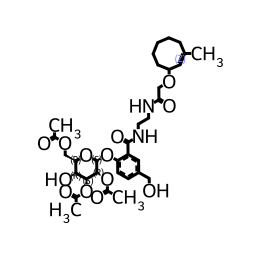 CC(=O)OC[C@H]1O[C@@H](Oc2ccc(CO)cc2C(=O)NCCNC(=O)COC2/C=C(/C)CCCCC2)[C@H](OC(C)=O)[C@@H](OC(C)=O)[C@@H]1O